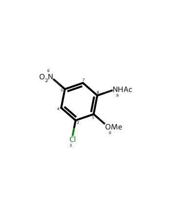 COc1c(Cl)cc([N+](=O)[O-])cc1NC(C)=O